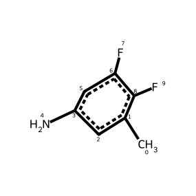 Cc1cc(N)cc(F)c1F